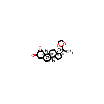 CC(C1OCCO1)[C@H]1CC[C@H]2[C@@H]3C=CC4=CC(=O)C5OC5[C@]4(C)[C@H]3CC[C@]12C